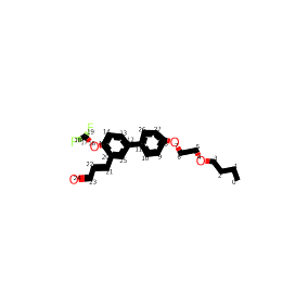 CCCCOCCOc1ccc(-c2ccc(OC(F)F)c(/C=C/C=O)c2)cc1